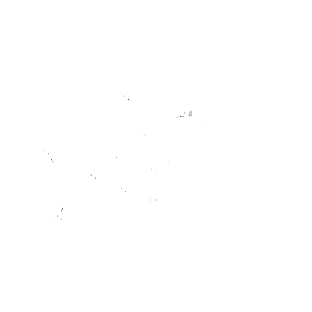 COC(=O)c1ccc(Nc2nc(N3C[C@H](N)C[C@H](N)C3)nc(N3C[C@H](N)C[C@H](N)C3)n2)c(O)c1